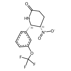 O=C1CC[C@H]([N+](=O)[O-])[C@H](c2cccc(OC(F)(F)F)c2)N1